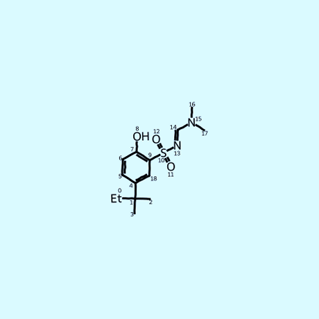 CCC(C)(C)c1ccc(O)c(S(=O)(=O)/N=C/N(C)C)c1